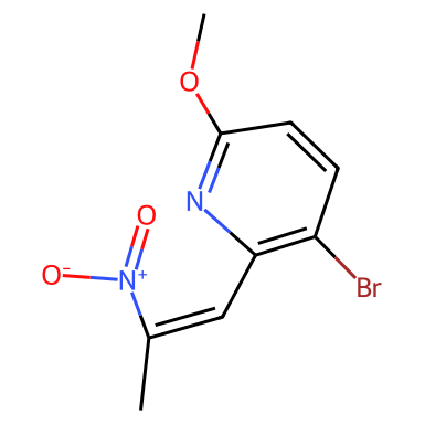 COc1ccc(Br)c(/C=C(/C)[N+](=O)[O-])n1